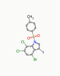 Cc1ccc(S(=O)(=O)n2cc(I)c3c(Br)cc(Cl)c(Cl)c32)cc1